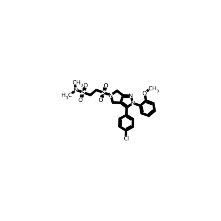 COc1ccccc1-n1nc2c(c1-c1ccc(Cl)cc1)CN(S(=O)(=O)CCS(=O)(=O)N(C)C)C2